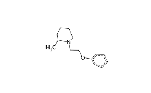 CC1CCCCN1CCOc1ccccc1